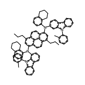 CCCc1cc(N(c2ccc3c4ccccc4n(-c4ccccc4C)c3c2)c2cccc3c2CCCC3)c2ccc3c(CCC)cc(N(c4cccc5c4CCCC5)c4cccc5c6ccccc6n(-c6ccccc6C)c45)c4ccc1c2c34